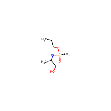 CCCOP(C)(=O)NC(C)CO